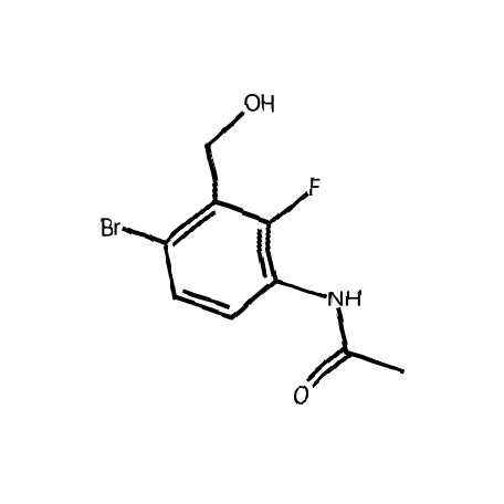 CC(=O)Nc1ccc(Br)c(CO)c1F